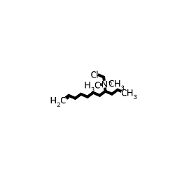 C=CCCCCCC(CCC)[N+](C)(C)CCl